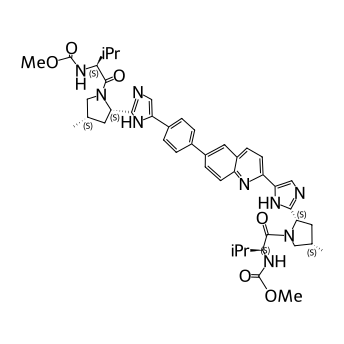 COC(=O)N[C@H](C(=O)N1C[C@@H](C)C[C@H]1c1ncc(-c2ccc(-c3ccc4nc(-c5cnc([C@@H]6C[C@H](C)CN6C(=O)[C@@H](NC(=O)OC)C(C)C)[nH]5)ccc4c3)cc2)[nH]1)C(C)C